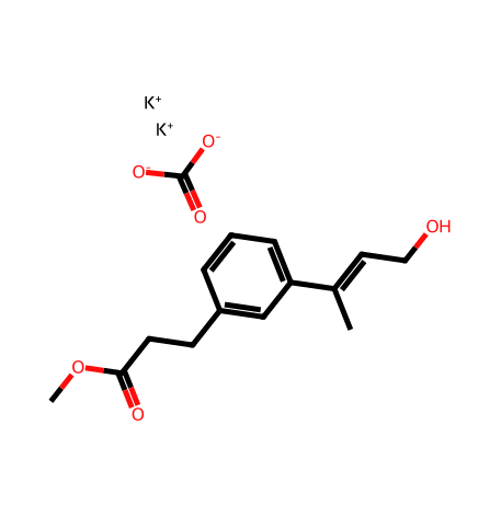 COC(=O)CCc1cccc(/C(C)=C/CO)c1.O=C([O-])[O-].[K+].[K+]